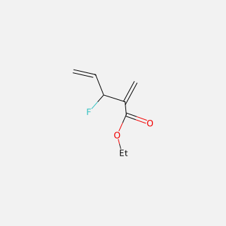 C=CC(F)C(=C)C(=O)OCC